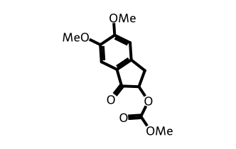 COC(=O)OC1Cc2cc(OC)c(OC)cc2C1=O